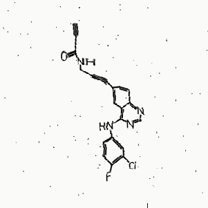 C#CC(=O)NCC#Cc1ccc2ncnc(Nc3ccc(F)c(Cl)c3)c2c1